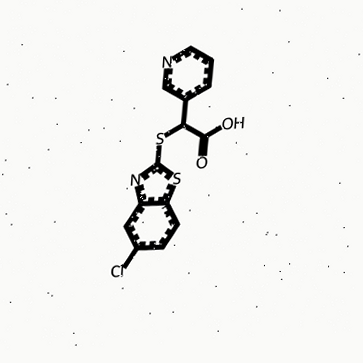 O=C(O)C(Sc1nc2cc(Cl)ccc2s1)c1cccnc1